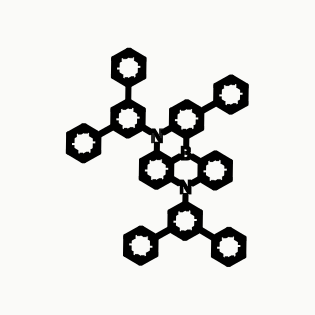 c1ccc(-c2cc(-c3ccccc3)cc(N3c4ccccc4B4c5cc(-c6ccccc6)ccc5N(c5cc(-c6ccccc6)cc(-c6ccccc6)c5)c5cccc3c54)c2)cc1